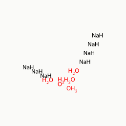 O.O.O.O.O.[NaH].[NaH].[NaH].[NaH].[NaH].[NaH].[NaH]